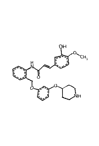 COc1ccc(C=CC(=O)Nc2ccccc2COc2cccc(OC3CCNCC3)c2)cc1O